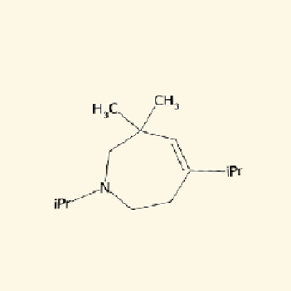 CC(C)C1=CC(C)(C)CN(C(C)C)CC1